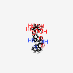 O=C(O)C1OC(Oc2ccc3c([C@@H]4C(=O)NC(=O)[C@H]4c4cn5c6c(cccc46)CCC5)c[nH]c3c2)[C@@H](O)[C@H](O)[C@H]1O